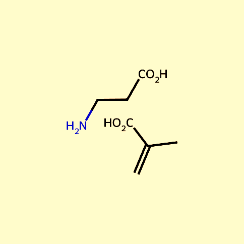 C=C(C)C(=O)O.NCCC(=O)O